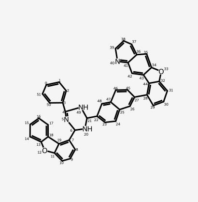 c1ccc(C2=NC(c3cccc4oc5ccccc5c34)NC(c3ccc4cc(-c5cccc6oc7cc8cccnc8cc7c56)ccc4c3)N2)cc1